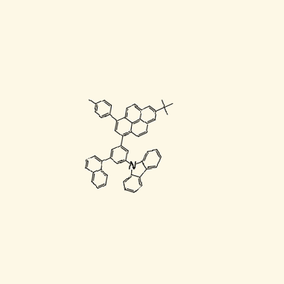 Cc1ccc(-c2cc(-c3cc(-c4cccc5ccccc45)cc(-n4c5ccccc5c5ccccc54)c3)c3ccc4cc(C(C)(C)C)cc5ccc2c3c54)cc1